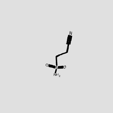 N#CCCS(N)(=O)=O